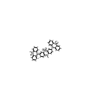 CN1c2ccc(N3c4ccccc4[Si](C)(C)c4ccccc43)cc2S(=O)(=O)c2cc(N3c4ccccc4[Si](C)(C)c4ccccc43)ccc21